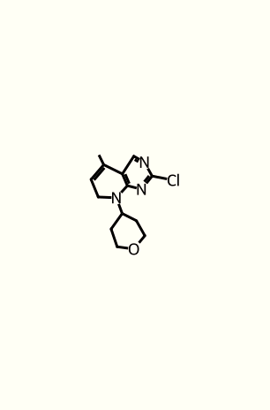 CC1=CCN(C2CCOCC2)c2nc(Cl)ncc21